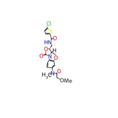 COCC(=O)N(C)c1ccc2c(c1)OC[C@H]1[C@H](CNC(=O)c3ccc(Cl)s3)OC(=O)N21